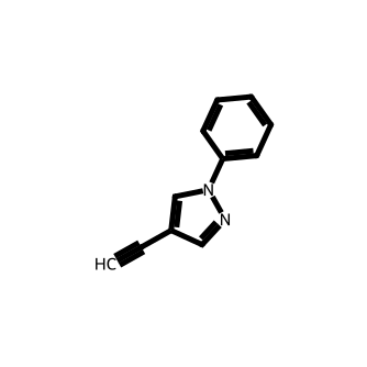 C#Cc1cnn(-c2ccccc2)c1